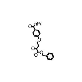 CCCC(=O)C1C=CC(OCCC(=O)C(=O)OCc2ccccc2)=CC1